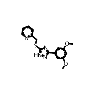 COc1cc(OC)cc(-c2n[nH]c(SCc3ccccn3)n2)c1